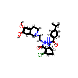 COc1cc2c(cc1OC)CN(CCNC(=O)c1c(Cl)cccc1NC(=O)c1ccc(C(C)C)cc1)CC2